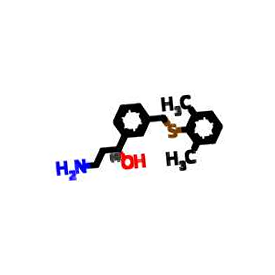 Cc1cccc(C)c1SCc1cccc([C@H](O)CCN)c1